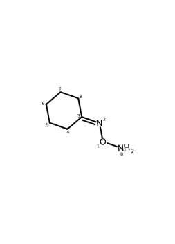 NON=C1CCCCC1